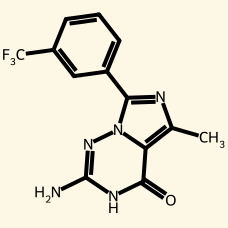 Cc1nc(-c2cccc(C(F)(F)F)c2)n2nc(N)[nH]c(=O)c12